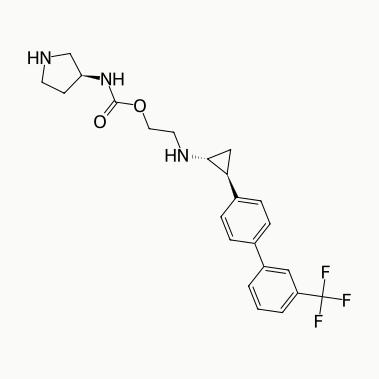 O=C(N[C@H]1CCNC1)OCCN[C@@H]1C[C@H]1c1ccc(-c2cccc(C(F)(F)F)c2)cc1